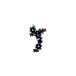 CCC[C@@H](CC(C#N)(c1cccc(F)c1)C1CCN(CC2CN(c3ccc(C#N)cc3)C2)CC1)OC(C)=O